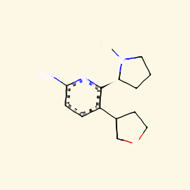 CN1CCC[C@H]1c1nc(N)ccc1C1CCOC1